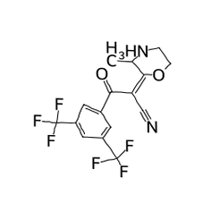 CC1NCCOC1=C(C#N)C(=O)c1cc(C(F)(F)F)cc(C(F)(F)F)c1